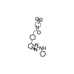 O=C(Cc1ccc(-c2cccn3nc(Nc4ccccc4)nc23)cc1)N1CCS(=O)(=O)CC1